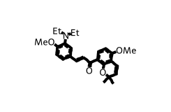 CCN(CC)c1cc(/C=C/C(=O)c2ccc(OC)c3c2OC(C)(C)C=C3)ccc1OC